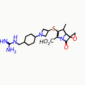 CC1C(SC2CN(C3CCC(CNC(=N)N)CC3)C2)=C(C(=O)O)N2C(=O)C3(CO3)C12